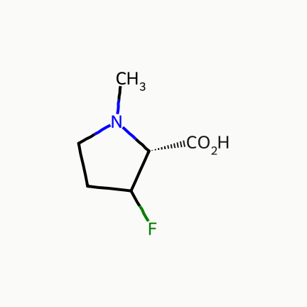 CN1CCC(F)[C@H]1C(=O)O